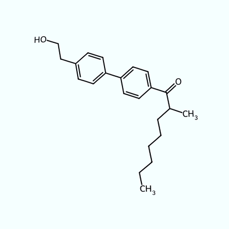 CCCCCCC(C)C(=O)c1ccc(-c2ccc(CCO)cc2)cc1